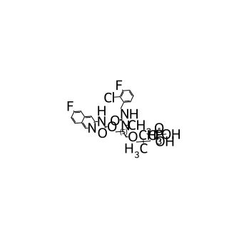 CN(C(=O)NCc1cccc(F)c1Cl)[C@@H](COCC(C)(C)COP(=O)(O)O)COC(=O)Nc1cc2cc(F)ccc2cn1